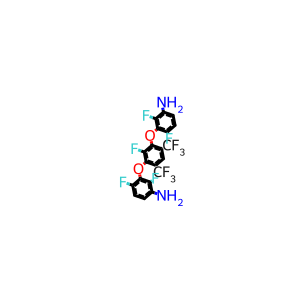 Nc1ccc(F)c(Oc2c(C(F)(F)F)cc(C(F)(F)F)c(Oc3c(F)ccc(N)c3F)c2F)c1F